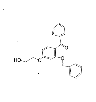 O=C(c1ccccc1)c1ccc(OCCO)cc1OCc1ccccc1